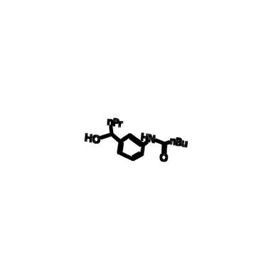 CCCCC(=O)Nc1cccc(C(O)CCC)c1